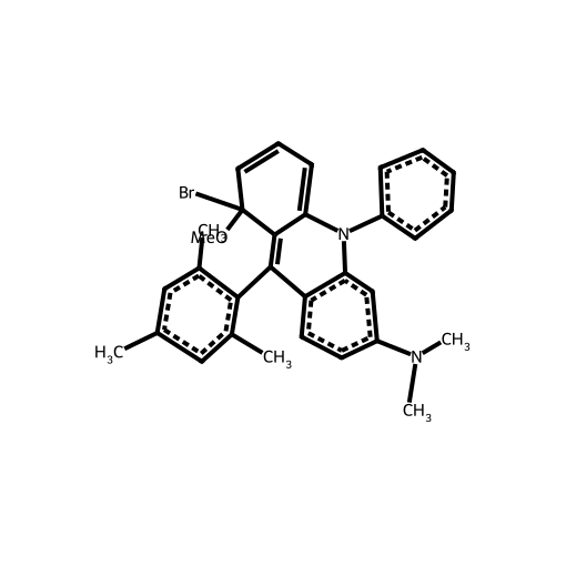 COC1(Br)C=CC=C2C1=C(c1c(C)cc(C)cc1C)c1ccc(N(C)C)cc1N2c1ccccc1